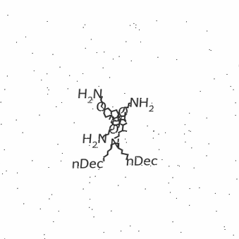 CCCCCCCCCCCCCCCCN(CCCCCCCCCCCCCCCC)CCCC(C)C1CC[C@H]2C3[C@H](OCCCN)CC4C[C@H](OCCCN)CCC4(C)[C@H]3C[C@H](OCCCN)C12C